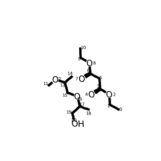 CCOC(=O)CC(=O)OCC.COC(C)COC(C)CO